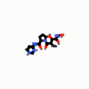 CCCCC(C(=O)N1CCCC1C(=O)Nc1ccncn1)C(O)C(=O)NO